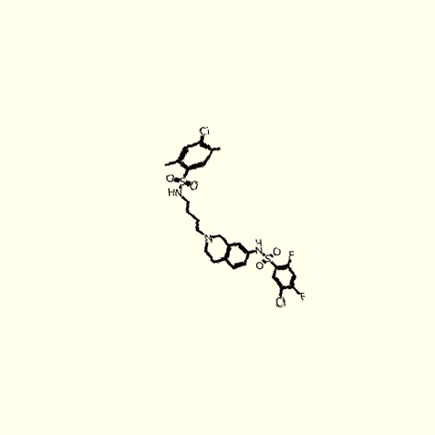 Cc1cc(S(=O)(=O)NCCCCN2CCc3ccc(NS(=O)(=O)c4cc(Cl)c(F)cc4F)cc3C2)c(C)cc1Cl